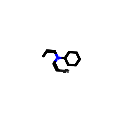 C/C=C\N(/C=C\CCC)C1CCCCC1